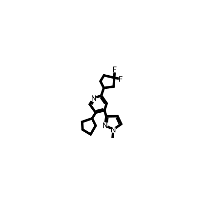 Cn1ccc(-c2cc(C3CCC(F)(F)C3)ncc2C2CCCC2)n1